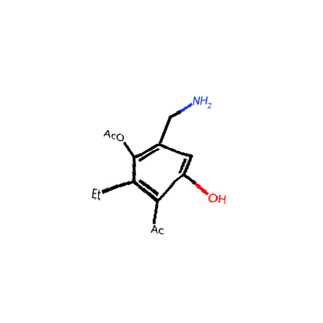 CCc1c(OC(C)=O)c(CN)cc(O)c1C(C)=O